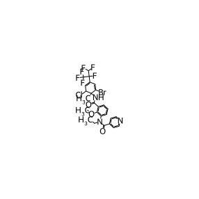 CCN(C(=O)c1ccncc1)c1cccc(C(=O)NC2(C)C(Br)=CC(C(F)(C(F)F)C(F)(F)F)=CC2Cl)c1OC